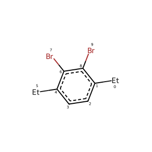 CCc1ccc(CC)c(Br)c1Br